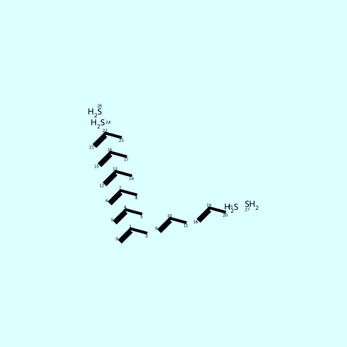 C=CC.C=CC.C=CC.C=CC.C=CC.C=CC.C=CC.C=CC.S.S.S.S